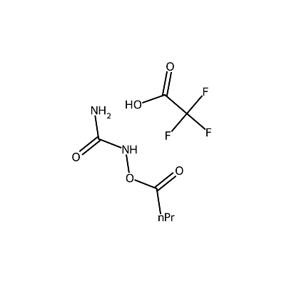 CCCC(=O)ONC(N)=O.O=C(O)C(F)(F)F